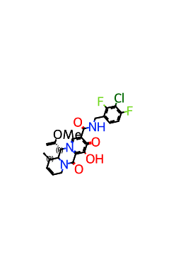 C=C(OC)[C@H]1C2[C@H](C)C=CCN2C(=O)c2c(O)c(=O)c(C(=O)NCc3ccc(F)c(Cl)c3F)cn21